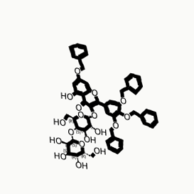 O=c1c(O[C@@H]2O[C@H](CO)[C@@H](O[C@@H]3O[C@H](CO)[C@H](O)[C@H](O)[C@H]3O)[C@H](O)[C@H]2O)c(-c2cc(OCc3ccccc3)c(OCc3ccccc3)c(OCc3ccccc3)c2)oc2cc(OCc3ccccc3)cc(O)c12